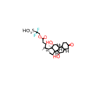 C[C@H](CCC(=O)OCC(F)(F)S(=O)(=O)O)[C@H]1CC[C@H]2[C@@H]3C(O)C[C@@H]4CC(=O)CC[C@]4(C)[C@H]3CC(O)[C@]12C